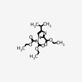 CCOC(=O)c1nc(C(C)C)cn1N(C(=O)OCC)C(=O)OCC